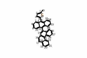 Cc1ccc(-c2c3ccccc3c(-c3cc4ccc5ccccc5c4c4ccccc34)c3ccccc23)s1